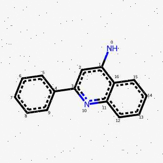 [NH]c1cc(-c2ccccc2)nc2ccccc12